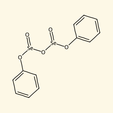 O=[Se](Oc1ccccc1)O[Se](=O)Oc1ccccc1